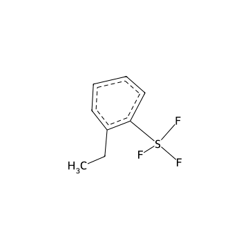 CCc1ccccc1S(F)(F)F